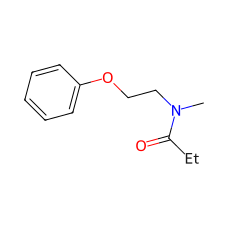 CCC(=O)N(C)CCOc1ccccc1